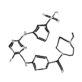 CN1CCN(C(=O)c2ccc(Nc3nc(Nc4cccc(S(N)(=O)=O)c4)ncc3F)cc2)CC1